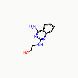 Nc1nc(NCCO)nc2ccccc12